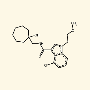 COCCc1cc(C(=O)NCC2(O)CCCCCC2)c2c(Cl)cccn12